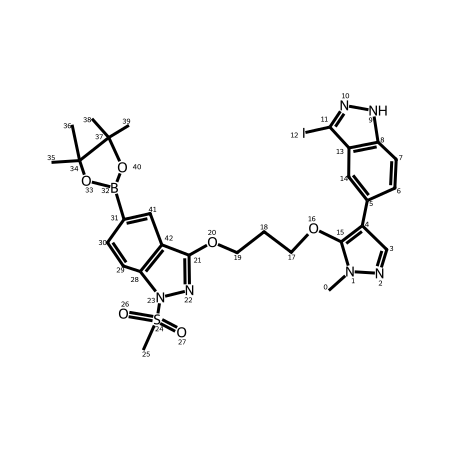 Cn1ncc(-c2ccc3[nH]nc(I)c3c2)c1OCCCOc1nn(S(C)(=O)=O)c2ccc(B3OC(C)(C)C(C)(C)O3)cc12